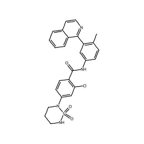 Cc1ccc(NC(=O)c2ccc(N3CCCNS3(=O)=O)cc2Cl)cc1-c1nccc2ccccc12